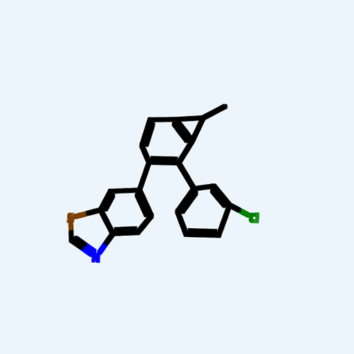 CC1c2ccc(-c3ccc4ncsc4c3)c(-c3cccc(Cl)c3)c21